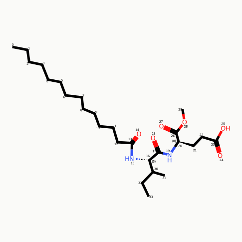 CCCCCCCCCCCCCC(=O)N[C@H](C(=O)N[C@H](CCC(=O)O)C(=O)OC)C(C)CC